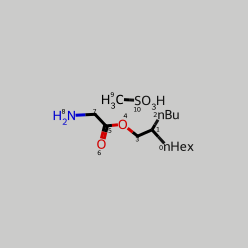 CCCCCCC(CCCC)COC(=O)CN.CS(=O)(=O)O